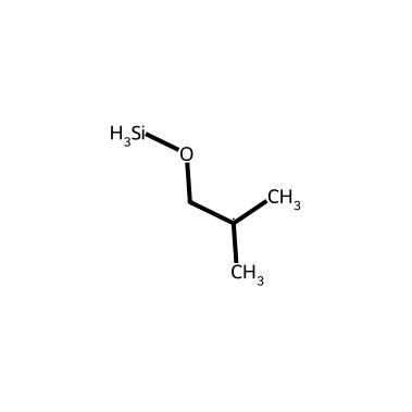 C[C](C)CO[SiH3]